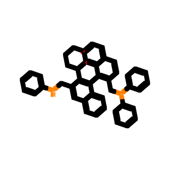 c1ccc(PCc2cc3ccccc3c(-c3c(CP(c4ccccc4)c4ccccc4)ccc4ccccc34)c2C2CCCCC2)cc1